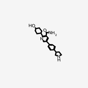 NC(=O)c1cc(-c2ccc(C3CCNC3)cc2)cnc1C1CCC(O)CC1